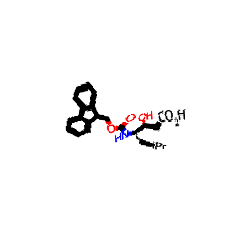 CC(C)C[C@H](NC(=O)OCC1c2ccccc2-c2ccccc21)[C@@H](O)CC(=O)O